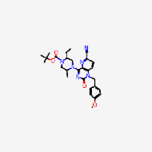 CC[C@H]1CN(c2nc(=O)n(Cc3ccc(OC)cc3)c3ccc(C#N)nc23)C(C)CN1C(=O)OC(C)(C)C